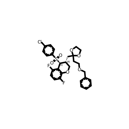 O=S(=O)(c1ccc(Cl)cc1)[C@@H]1c2c(F)ccc(F)c2OC[C@H]1CC1(CCOCc2ccccc2)OCCO1